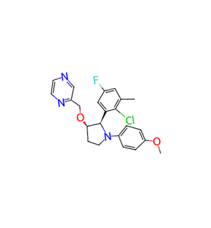 COc1ccc(N2CC[C@@H](OCc3cnccn3)[C@H]2c2cc(F)cc(C)c2Cl)cc1